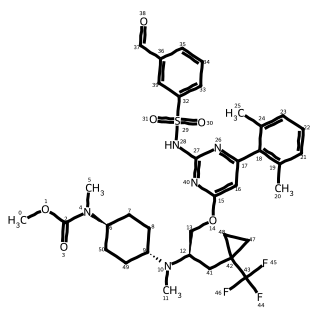 COC(=O)N(C)[C@H]1CC[C@H](N(C)[C@@H](COc2cc(-c3c(C)cccc3C)nc(NS(=O)(=O)c3cccc(C=O)c3)n2)CC2(C(F)(F)F)CC2)CC1